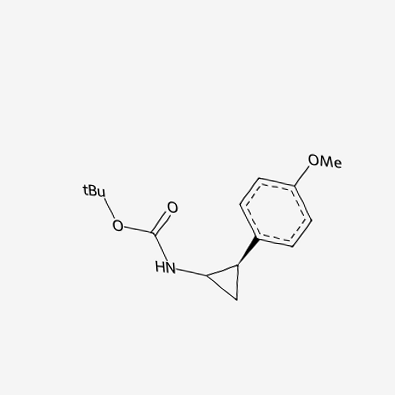 COc1ccc([C@H]2CC2NC(=O)OC(C)(C)C)cc1